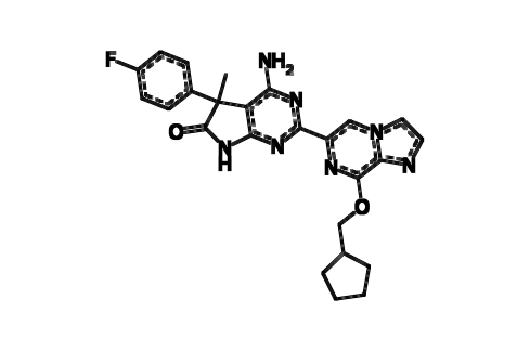 CC1(c2ccc(F)cc2)C(=O)Nc2nc(-c3cn4ccnc4c(OCC4CCCC4)n3)nc(N)c21